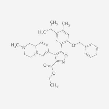 CCOC(=O)c1noc(-c2cc(C(C)C)c(C)cc2OCc2ccccc2)c1-c1ccc2c(c1)CCN(C)C2